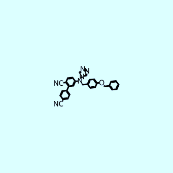 N#Cc1ccc(-c2cc(N(Cc3ccc(OCc4ccccc4)cc3)n3cnnc3)ccc2C#N)cc1